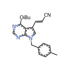 Cc1ccc(Cn2cc(/C=C/C#N)c3c(OCC(C)C)ncnc32)cc1